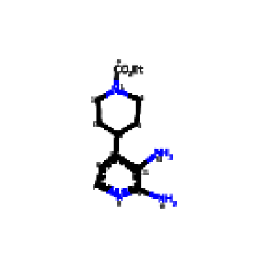 CCOC(=O)N1CCC(c2ccnc(N)c2N)CC1